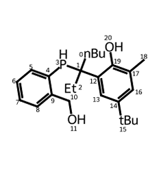 CCCCC(CC)(Pc1ccccc1CO)c1cc(C(C)(C)C)cc(C)c1O